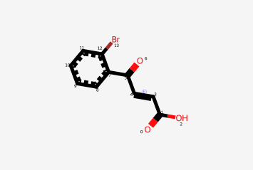 O=C(O)/C=C/C(=O)c1ccccc1Br